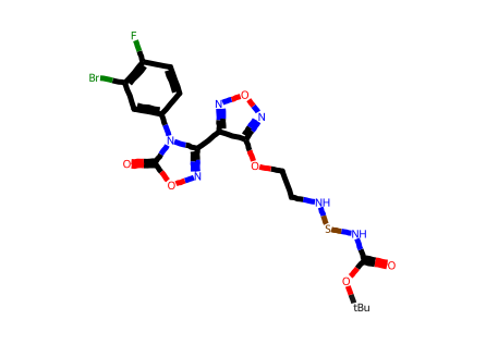 CC(C)(C)OC(=O)NSNCCOc1nonc1-c1noc(=O)n1-c1ccc(F)c(Br)c1